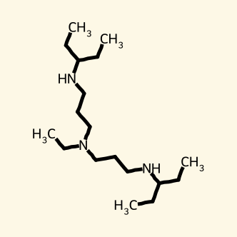 CCC(CC)NCCCN(CC)CCCNC(CC)CC